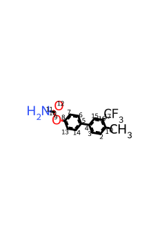 Cc1ccc(-c2ccc(OC(N)=O)cc2)cc1C(F)(F)F